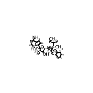 COC(=O)[C@H](C)NP(=O)(OC[C@H]1O[C@@](C)(c2ccc3c(N)ncnn23)[C@H](O)[C@@H]1O)Oc1ccccc1